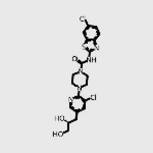 O=C(Nc1nc2ccc(Cl)cc2s1)N1CCN(c2ncc(C[C@H](O)CO)cc2Cl)CC1